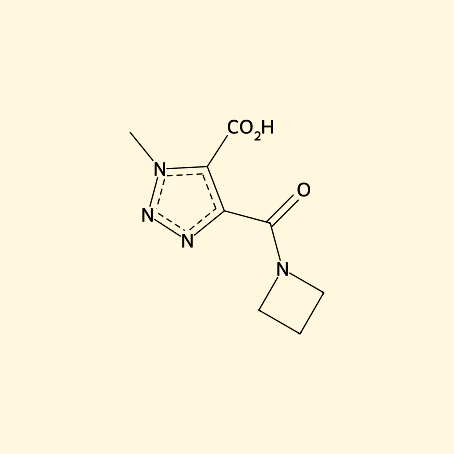 Cn1nnc(C(=O)N2CCC2)c1C(=O)O